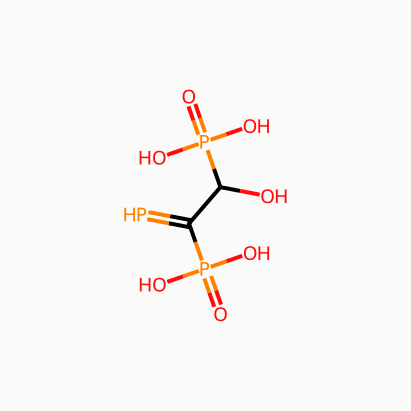 O=P(O)(O)C(=P)C(O)P(=O)(O)O